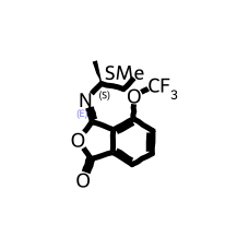 CSC[C@H](C)/N=C1/OC(=O)c2cccc(OC(F)(F)F)c21